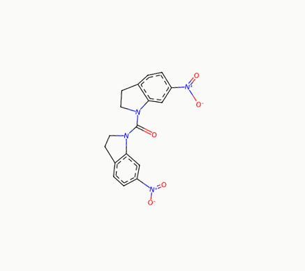 O=C(N1CCc2ccc([N+](=O)[O-])cc21)N1CCc2ccc([N+](=O)[O-])cc21